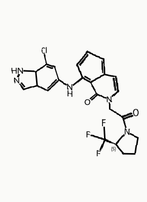 O=C(Cn1ccc2cccc(NC3=CC4C=NNC4C(Cl)=C3)c2c1=O)N1CCC[C@H]1C(F)(F)F